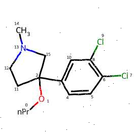 CCCOC1(c2ccc(Cl)c(Cl)c2)CCN(C)C1